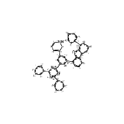 C1=CNCC(c2cc(-c3nc(-c4ccccc4)nc(-c4ccccc4)n3)cc(-c3cccc4c3oc3c(-c5ccccc5)cccc34)c2)=C1